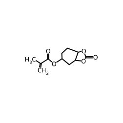 C=C(C)C(=O)OC1CCC2OC(=O)OC2C1